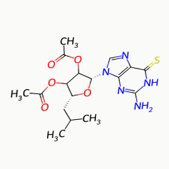 CC(=O)OC1C(OC(C)=O)[C@@H](CC(C)C)O[C@H]1n1cnc2c(=S)[nH]c(N)nc21